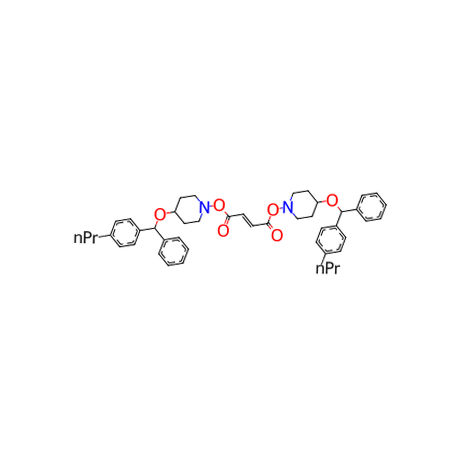 CCCc1ccc(C(OC2CCN(OC(=O)/C=C/C(=O)ON3CCC(OC(c4ccccc4)c4ccc(CCC)cc4)CC3)CC2)c2ccccc2)cc1